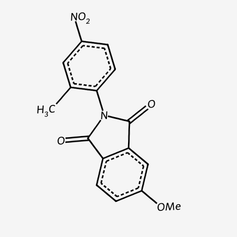 COc1ccc2c(c1)C(=O)N(c1ccc([N+](=O)[O-])cc1C)C2=O